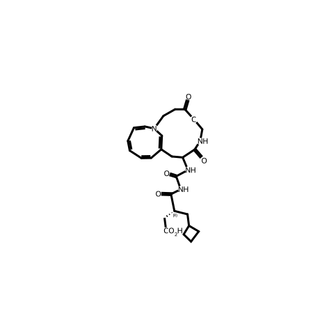 O=C(O)C[C@@H](CC1CCC1)C(=O)NC(=O)NC1Cc2ccccccn(c2)CCC(=O)CCNC1=O